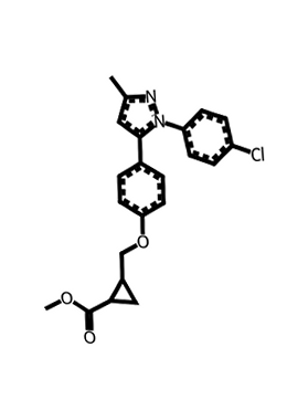 COC(=O)C1CC1COc1ccc(-c2cc(C)nn2-c2ccc(Cl)cc2)cc1